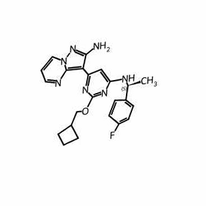 C[C@H](Nc1cc(-c2c(N)nn3cccnc23)nc(OCC2CCC2)n1)c1ccc(F)cc1